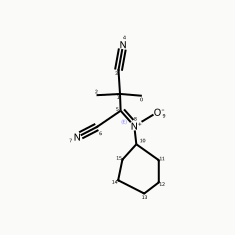 CC(C)(C#N)/C(C#N)=[N+](\[O-])C1CCCCC1